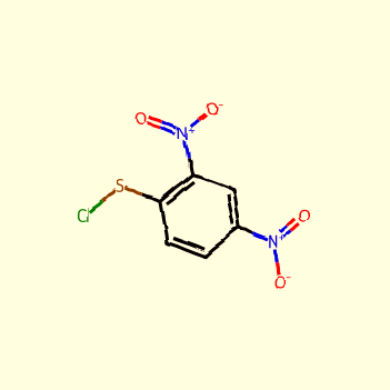 O=[N+]([O-])c1ccc(SCl)c([N+](=O)[O-])c1